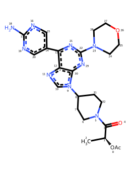 CC(=O)O[C@@H](C)C(=O)N1CCC(n2cnc3c(-c4cnc(N)nc4)nc(N4CCOCC4)nc32)CC1